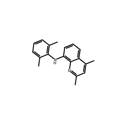 Cc1cc(C)c2cccc(Nc3c(C)cccc3C)c2n1